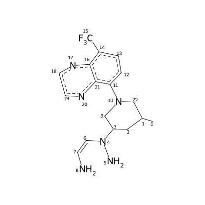 CC1CC(N(N)/C=C\N)CN(c2ccc(C(F)(F)F)c3nccnc23)C1